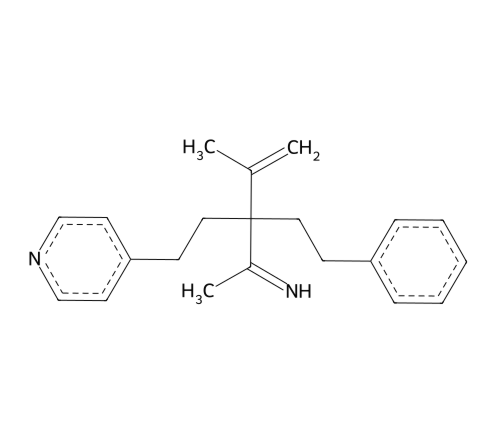 C=C(C)C(CCc1ccccc1)(CCc1ccncc1)C(C)=N